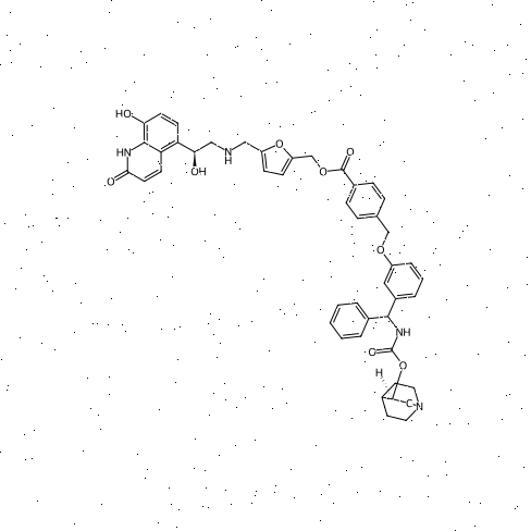 O=C(NC(c1ccccc1)c1cccc(OCc2ccc(C(=O)OCc3ccc(CNC[C@@H](O)c4ccc(O)c5[nH]c(=O)ccc45)o3)cc2)c1)O[C@H]1CN2CCC1CC2